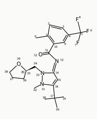 Cc1ccc(C(F)(F)F)cc1C(=O)N=c1cc(C(C)(C)C)n(C)n1C[C@H]1CCCO1